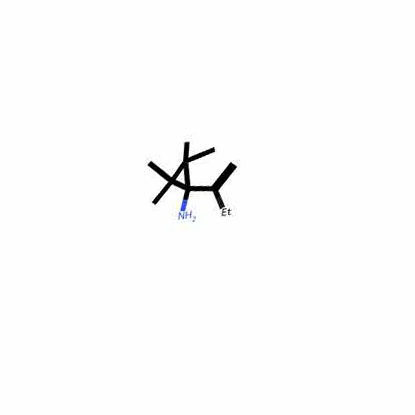 C=C(CC)C1(N)C(C)(C)C1(C)C